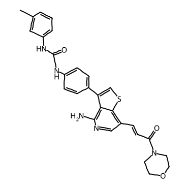 Cc1cccc(NC(=O)Nc2ccc(-c3csc4c(/C=C/C(=O)N5CCOCC5)cnc(N)c34)cc2)c1